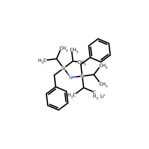 CC(C)[Si](Cc1ccccc1)([N-][Si](Cc1ccccc1)(C(C)C)C(C)C)C(C)C.[Li+]